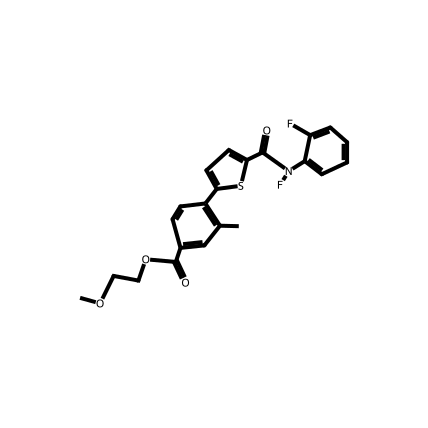 COCCOC(=O)c1ccc(-c2ccc(C(=O)N(F)c3ccccc3F)s2)c(C)c1